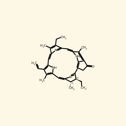 C=Cc1c(C)c2cc3nc(c4c5[nH]c(cc6nc(cc1[nH]2)C(C)=C6CC)c(C)c5C(=O)C4)[C@@H](CC)[C@@H]3C